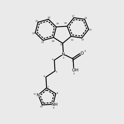 O=C(O)N(CCCc1c[nH]cn1)C1c2ccccc2-c2ccccc21